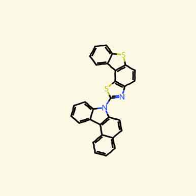 c1ccc2c(c1)ccc1c2c2ccccc2n1-c1nc2ccc3sc4ccccc4c3c2s1